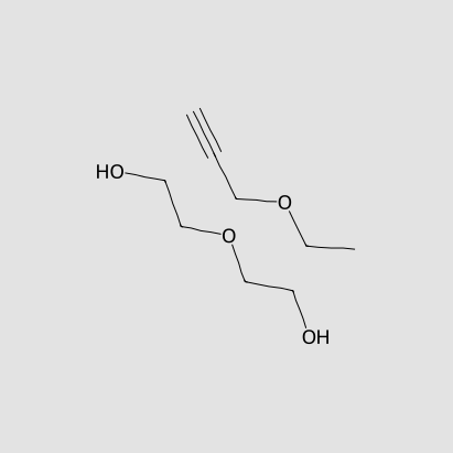 C#CCOCC.OCCOCCO